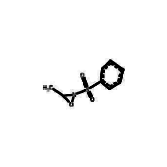 CC1ON1S(=O)(=O)c1ccccc1